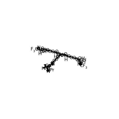 Cc1nn(CCOCCOCCOCC(=O)NC(COCCC(=O)NCCOCCOCCOCCOC[C@H]2OC[C@H](Nc3cncc(C(F)(F)F)n3)[C@@H](O)[C@H]2O)COCCC(=O)NCCOCCOCCOCCOC[C@H]2OC[C@H](Nc3cncc(C(F)(F)F)n3)[C@@H](O)[C@H]2O)c(C)c1-c1ccc(NC(=O)[C@@H](NC(=O)c2ccnn2C(C)C)C(C2CC2)C2CC2)cc1